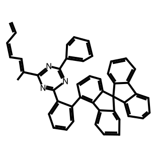 C=C/C=C\C=C(/C)c1nc(-c2ccccc2)nc(-c2ccccc2-c2cccc3c2-c2ccccc2C32c3ccccc3-c3ccccc32)n1